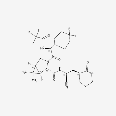 CC1(C)[C@@H]2[C@@H](C(=O)N[C@H](C#N)C[C@@H]3CCCNC3=O)N(C(=O)[C@@H](NC(=O)C(F)(F)F)C3CCC(F)(F)CC3)C[C@@H]21